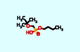 CCCCOP(=O)(O)COC(C)(C)C